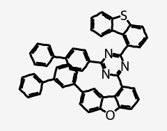 c1ccc(-c2ccc(-c3nc(-c4cccc5oc6ccc(-c7cccc(-c8ccccc8)c7)cc6c45)nc(-c4cccc5sc6ccccc6c45)n3)cc2)cc1